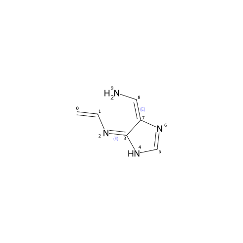 C=C/N=C1/NC=N/C1=C/N